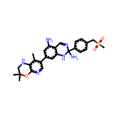 Cc1c(-c2cc(N)c3c(c2)NC(N)(c2ccc(CS(C)(=O)=O)cc2)N=C3)cnc2c1NCC(C)(C)O2